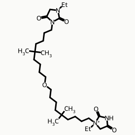 CCN1CC(=O)N(CCCCC(C)(C)CCCCOCCCCC(C)(C)CCCC[N+]2(CC)CC(=O)NC2=O)C1=O